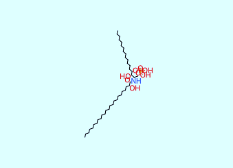 CCCCCCCCCCCCCCCCCCCCCCC(O)C(=O)NC(COP(=O)(O)O)C(O)C(O)CCCCCCCCCCCCCC